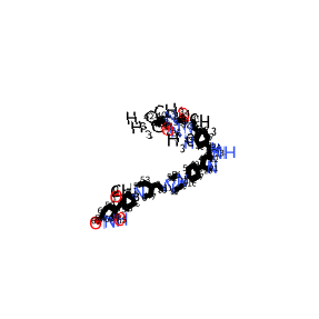 COc1cc(N2CCC(CCN3CCN(c4ccc(-c5cnc6[nH]nc(-c7ccc(C(C)NC(=O)c8noc(C(C)(C)C)n8)c(C)c7)c6c5)cc4)CC3)CC2)ccc1C1CCC(=O)NC1=O